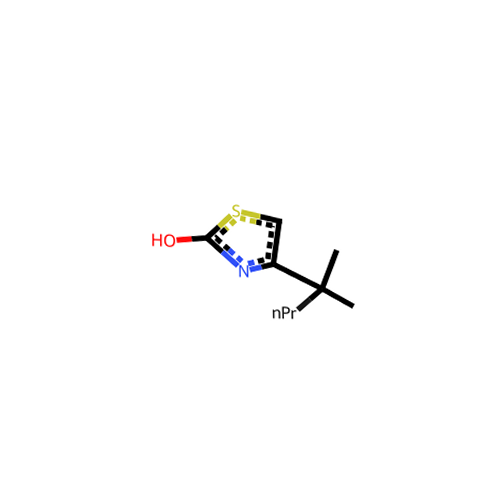 CCCC(C)(C)c1csc(O)n1